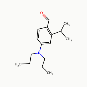 CCCN(CCC)c1ccc(C=O)c(C(C)C)c1